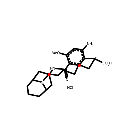 COc1cc(N)c(Cl)cc1C(=O)NC1CC2CCCC(C1)N2CCCCCCCC(=O)O.Cl